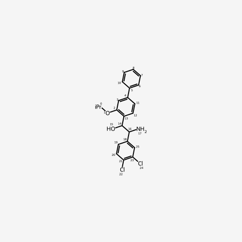 CC(C)Oc1cc(-c2ccccc2)ccc1C(O)C(N)c1ccc(Cl)c(Cl)c1